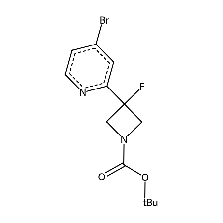 CC(C)(C)OC(=O)N1CC(F)(c2cc(Br)ccn2)C1